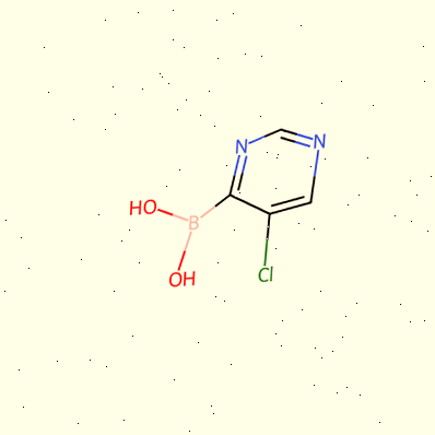 OB(O)c1ncncc1Cl